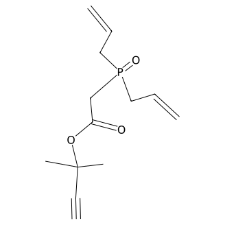 C#CC(C)(C)OC(=O)CP(=O)(CC=C)CC=C